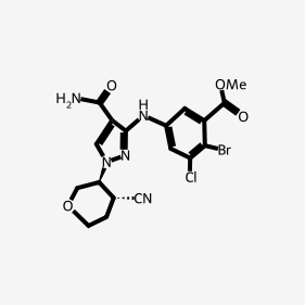 COC(=O)c1cc(Nc2nn([C@@H]3COCC[C@H]3C#N)cc2C(N)=O)cc(Cl)c1Br